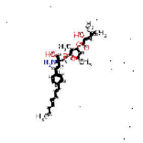 CCCCCCCCc1ccc(CCC(N)(CO)COC2O[C@@H](C)C[C@H](OC(=O)[C@H](O)CC(C)C)[C@H]2C)cc1